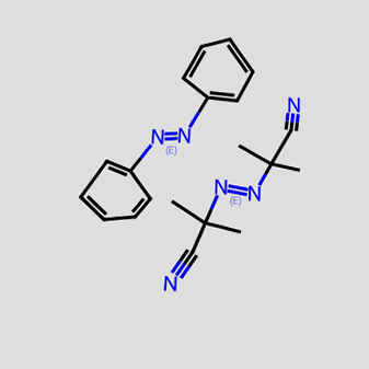 CC(C)(C#N)/N=N/C(C)(C)C#N.c1ccc(/N=N/c2ccccc2)cc1